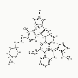 BC(c1ccccc1OCc1ccnn1CC(F)(F)F)C(Oc1ncnc2sc(-c3ccc(F)o3)c(-c3ccc(OCCN4CCN(C)CC4)c(Cl)c3C)c12)C(=O)OCC